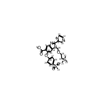 COC(=O)c1cc2nc(-c3cnccn3)n(COCC[Si](C)(C)C)c2cc1Oc1ccc(S(C)(=O)=O)cc1